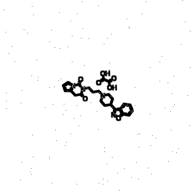 O=C(O)C(=O)O.O=C1Cc2cccn2C(=O)N1CCCN1CCC(c2noc3ccccc23)CC1